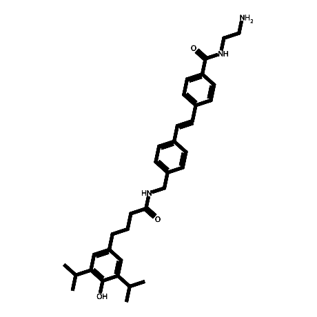 CC(C)c1cc(CCCC(=O)NCc2ccc(C=Cc3ccc(C(=O)NCCN)cc3)cc2)cc(C(C)C)c1O